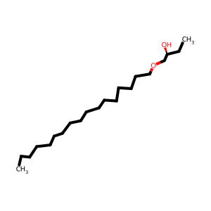 CCCCCCCCCCCCCCCCCOC[C@@H](O)CC